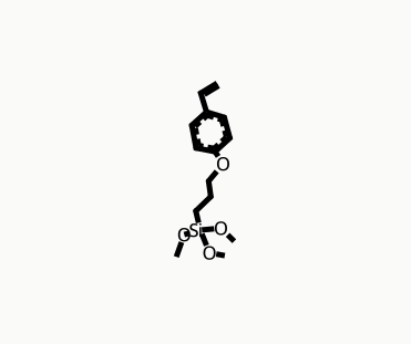 C=Cc1ccc(OCCC[Si](OC)(OC)OC)cc1